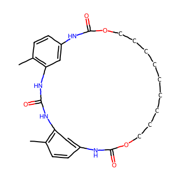 Cc1ccc2cc1NC(=O)Nc1cc(ccc1C)NC(=O)OCCCCCCCCCOC(=O)N2